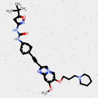 COc1cc2nc(C#Cc3ccc(NC(=O)Nc4cc(C(C)(C)C)on4)cc3)cn2cc1OCCCN1CCCCC1